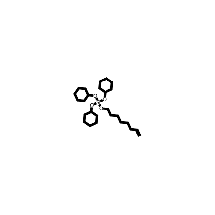 C=CCCCCCCO[Si](OC1CCCCC1)(OC1CCCCC1)OC1CCCCC1